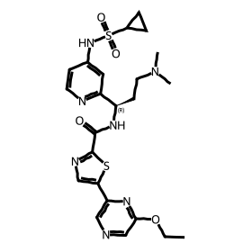 CCOc1cncc(-c2cnc(C(=O)N[C@H](CCN(C)C)c3cc(NS(=O)(=O)C4CC4)ccn3)s2)n1